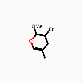 CCC1CC(C)=COC1OC